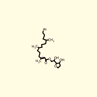 C/C(=C\C(=O)OCC(O)C1OCCC1O)CCCC(C)CCCC(C)CCCC(C)C